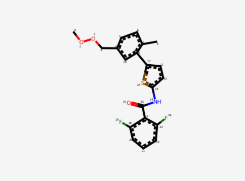 COOCc1ccc(C)c(-c2ccc(NC(=O)c3c(F)cccc3F)s2)c1